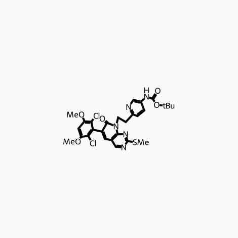 COc1cc(OC)c(Cl)c(-c2cc3cnc(SC)nc3n(CCc3ccc(NC(=O)OC(C)(C)C)cn3)c2=O)c1Cl